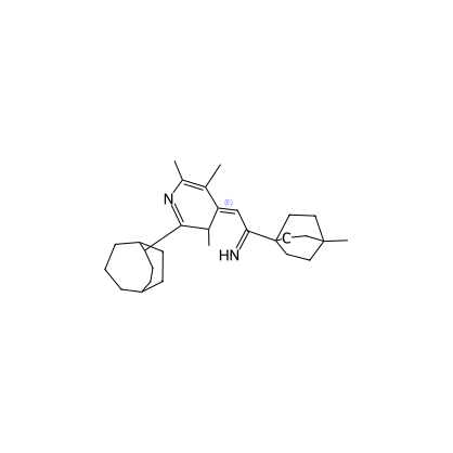 CC1=C(C)/C(=C/C(=N)C23CCC(C)(CC2)CC3)C(C)C(C2CCC3CCCC2CC3)=N1